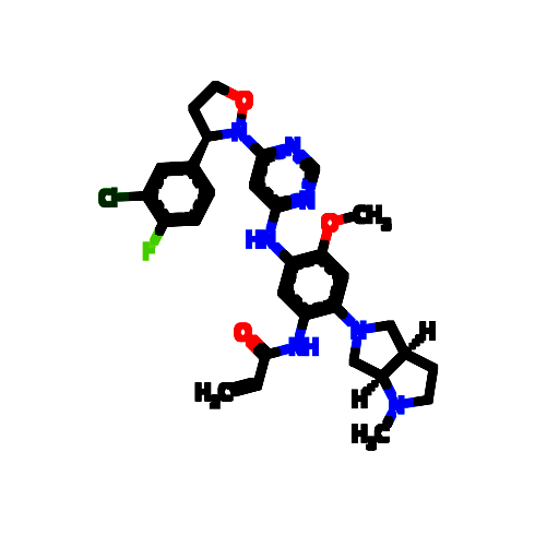 C=CC(=O)Nc1cc(Nc2cc(N3OCC[C@@H]3c3ccc(F)c(Cl)c3)ncn2)c(OC)cc1N1C[C@H]2CCN(C)[C@H]2C1